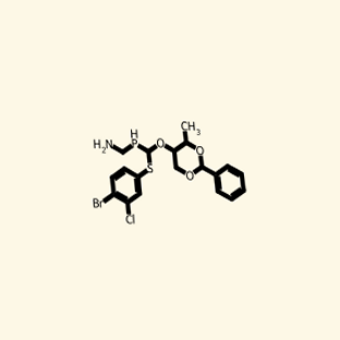 CC1OC(c2ccccc2)OCC1OC(PCN)Sc1ccc(Br)c(Cl)c1